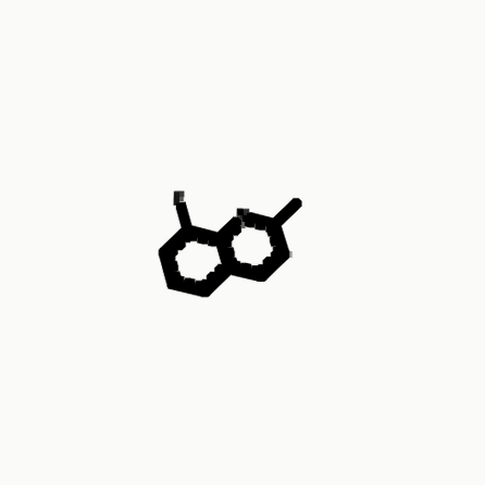 Cc1[c]cc2cccc(F)c2n1